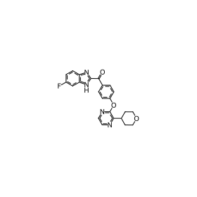 O=C(c1ccc(Oc2nccnc2C2CCOCC2)cc1)c1nc2ccc(F)cc2[nH]1